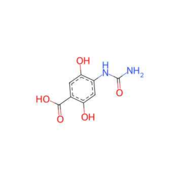 NC(=O)Nc1cc(O)c(C(=O)O)cc1O